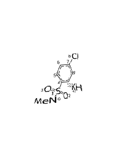 CNS(=O)(=O)c1ccc(Cl)cc1.[KH]